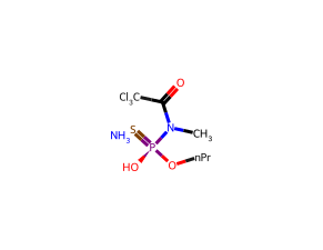 CCCO[P@](O)(=S)N(C)C(=O)C(Cl)(Cl)Cl.N